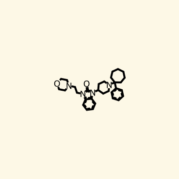 O=c1n(CCN2CCOCC2)c2ccccc2n1C1CCN(C2(c3ccccc3)CCCCCC2)CC1